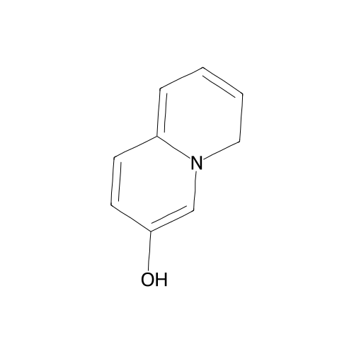 OC1=CN2CC=CC=C2C=C1